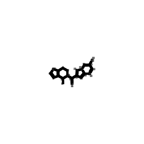 CC1c2ccoc2CCN1C(=O)c1cc2ncc(Cl)cn2n1